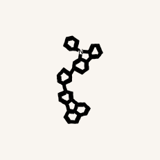 c1ccc(-n2c3ccccc3c3ccc(-c4cccc(-c5ccc6c(c5)-c5cccc7cccc-6c57)c4)cc32)cc1